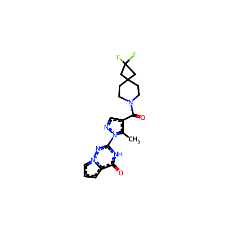 Cc1c(C(=O)N2CCC3(CC2)CC(F)(F)C3)cnn1-c1nn2cccc2c(=O)[nH]1